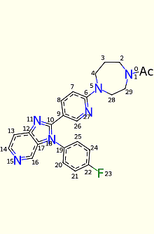 CC(=O)N1CCCN(c2ccc(-c3nc4ccncc4n3-c3ccc(F)cc3)cn2)CC1